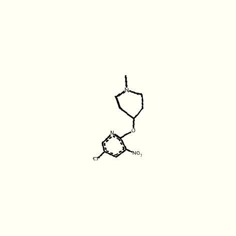 CN1CCC(Oc2ncc(Cl)cc2[N+](=O)[O-])CC1